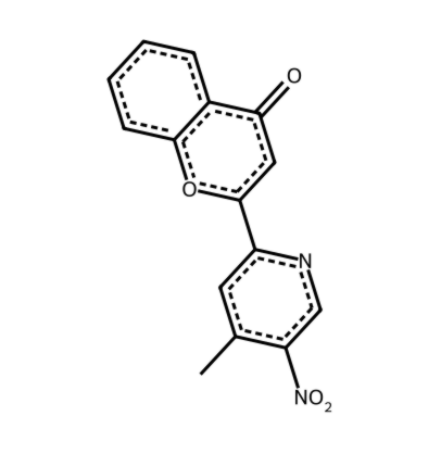 Cc1cc(-c2cc(=O)c3ccccc3o2)ncc1[N+](=O)[O-]